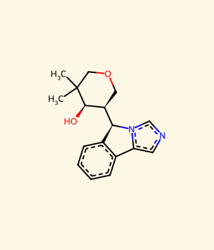 CC1(C)COC[C@@H]([C@@H]2c3ccccc3-c3cncn32)[C@H]1O